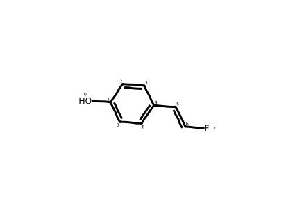 Oc1ccc(C=CF)cc1